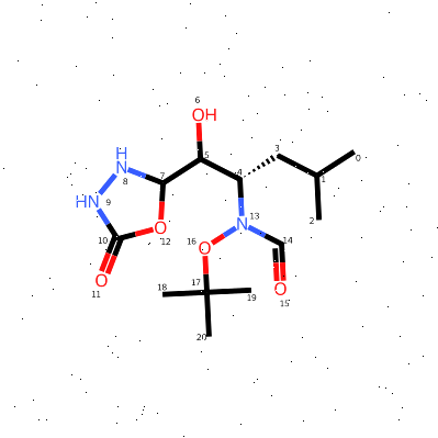 CC(C)C[C@@H](C(O)C1NNC(=O)O1)N(C=O)OC(C)(C)C